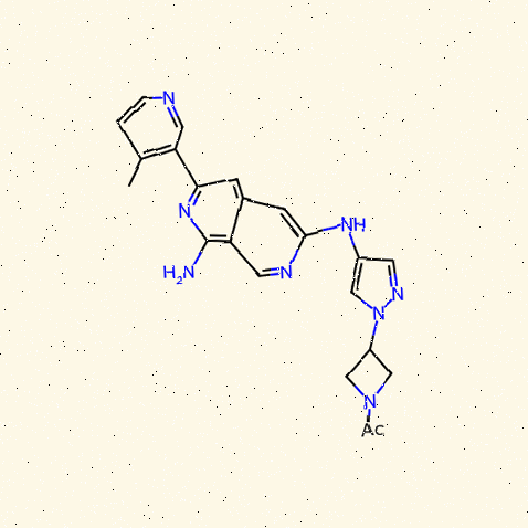 CC(=O)N1CC(n2cc(Nc3cc4cc(-c5cnccc5C)nc(N)c4cn3)cn2)C1